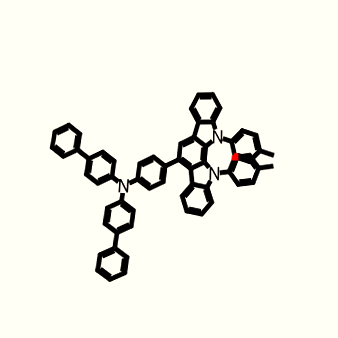 Cc1ccc(-n2c3ccccc3c3cc(-c4ccc(N(c5ccc(-c6ccccc6)cc5)c5ccc(-c6ccccc6)cc5)cc4)c4c5ccccc5n(-c5ccc(C)cc5)c4c32)cc1